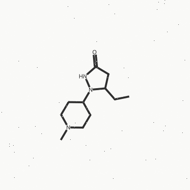 CCC1CC(=O)NN1C1CCN(C)CC1